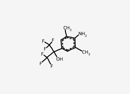 Cc1cc(C(O)(C(F)(F)F)C(F)(F)F)cc(C)c1N